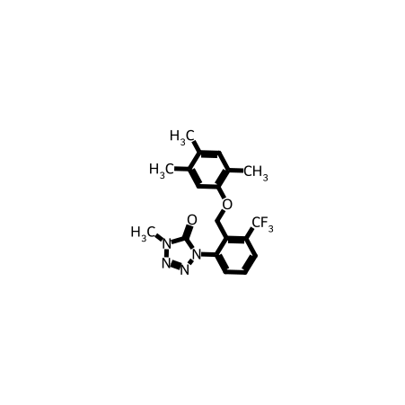 Cc1cc(C)c(OCc2c(-n3nnn(C)c3=O)cccc2C(F)(F)F)cc1C